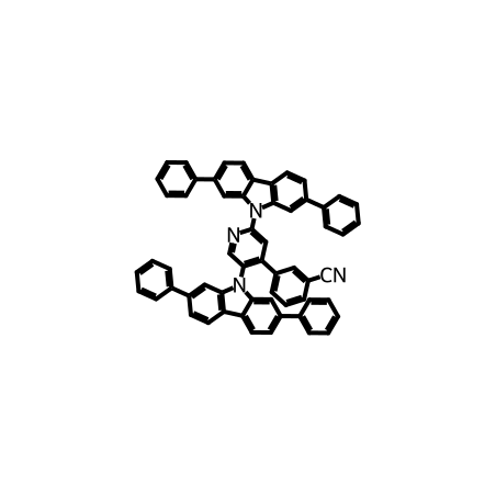 N#Cc1cccc(-c2cc(-n3c4cc(-c5ccccc5)ccc4c4ccc(-c5ccccc5)cc43)ncc2-n2c3cc(-c4ccccc4)ccc3c3ccc(-c4ccccc4)cc32)c1